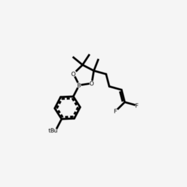 CC(C)(C)c1ccc(B2OC(C)(C)C(C)(CCC=C(F)F)O2)cc1